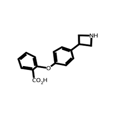 O=C(O)c1ccccc1Oc1ccc(C2CNC2)cc1